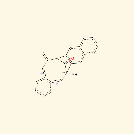 C=C1/C=c2/cccc/c2=C/[C@H]2C(=O)C1c1cc3ccccc3cc12